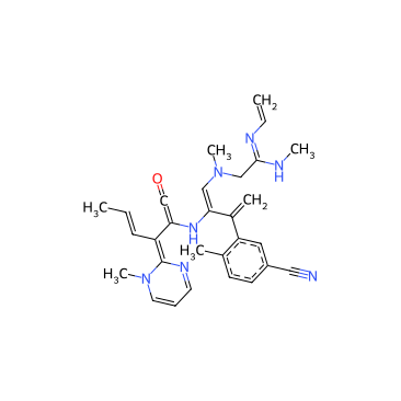 C=C/N=C(/CN(C)/C=C(/NC(=C=O)C(/C=C/C)=C1\N=CC=CN1C)C(=C)c1cc(C#N)ccc1C)NC